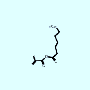 C=C(C)C(=O)OC(=O)CCCCCCCCCCCCC